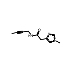 CC#CCNC(=O)Cc1cn(C)cn1